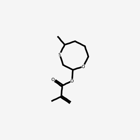 C=C(C)C(=O)OC1CSC(C)CCCO1